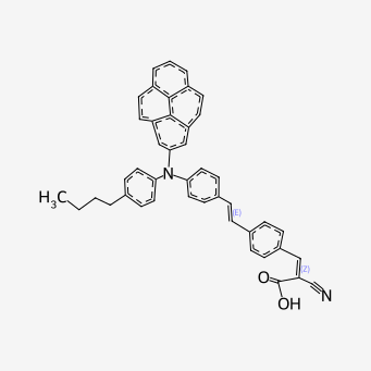 CCCCc1ccc(N(c2ccc(/C=C/c3ccc(/C=C(/C#N)C(=O)O)cc3)cc2)c2cc3ccc4cccc5ccc(c2)c3c45)cc1